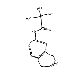 CC(C)(N)C(=O)Nc1ccc2c(c1)CNC2